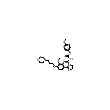 COc1c(OCCCN2CCOCC2)ccc2c1N=C(NC(=O)Oc1cnc(SC)nc1)N1CCN=C21